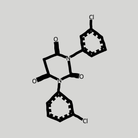 O=C1CC(=O)N(c2cccc(Cl)c2)C(=O)N1c1cccc(Cl)c1